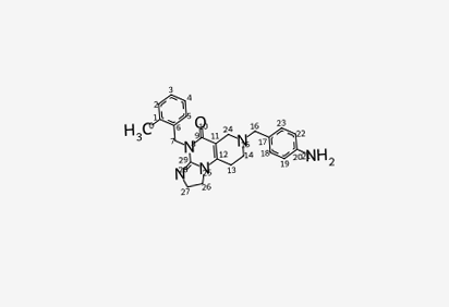 Cc1ccccc1CN1C(=O)C2=C(CCN(Cc3ccc(N)cc3)C2)N2CCN=C12